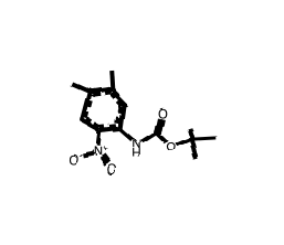 Cc1cc(NC(=O)OC(C)(C)C)c([N+](=O)[O-])cc1C